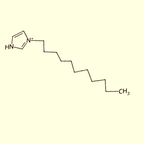 CCCCCCCCCCC[n+]1cc[nH]c1